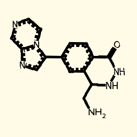 NCC1NNC(=O)c2ccc(-c3cnc4cnccn34)cc21